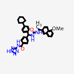 COc1cccc2cc(C(C)NC(=O)NC(c3ccc(C(=O)Nc4nn[nH]n4)cc3)c3ccc(C4CCCCC4)cc3)ccc12